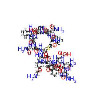 CC(=O)N[C@@H]1CCSC[C@@H](C(=O)N[C@@H](Cc2ccc(OCCN)cc2)C(=O)N[C@@H](Cc2ccc3ccccc3c2)C(=O)NC2(C(=O)N[C@@H](CCC(=O)O)C(=O)N[C@@H](CC(N)=O)C(=O)N[C@@H](CC(N)=O)C(N)=O)CCOCC2)NC(=O)[C@H](CCC(N)=O)NC(=O)[C@H](Cc2c[nH]c3ccccc23)NC(=O)[C@H]([C@@H](C)O)NC(=O)[C@@H](CCC(N)=O)NC1=O